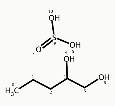 CCCC(O)CO.O=S(O)O